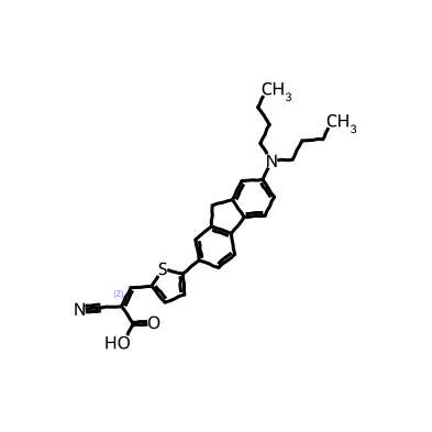 CCCCN(CCCC)c1ccc2c(c1)Cc1cc(-c3ccc(/C=C(/C#N)C(=O)O)s3)ccc1-2